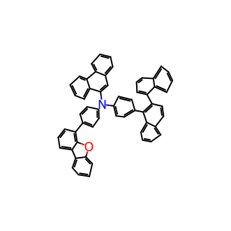 c1ccc2c(-c3ccc4ccccc4c3-c3ccc(N(c4ccc(-c5cccc6c5oc5ccccc56)cc4)c4cc5ccccc5c5ccccc45)cc3)cccc2c1